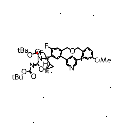 COc1ccc(COCc2cc(F)c([C@]3(CF)C4C[C@H]4OC(=NC(=O)OC(C)(C)C)N3C(=O)OC(C)(C)C)cc2-c2cncc(F)c2)cc1